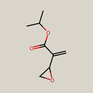 C=C(C(=O)OC(C)C)C1CO1